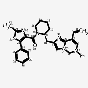 C=CC1=CN(F)C[N+]2C=C(C[C@@H]3CCCCN3C(=O)c3nc(C)sc3-c3ccccc3)N=C12